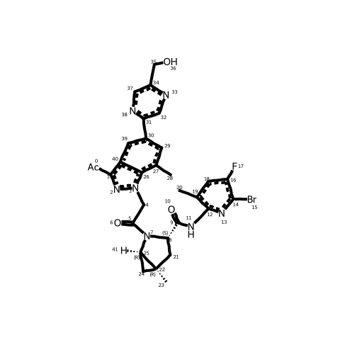 CC(=O)c1nn(CC(=O)N2[C@H](C(=O)Nc3nc(Br)c(F)cc3C)C[C@@]3(C)C[C@@H]23)c2c(C)cc(-c3cnc(CO)cn3)cc12